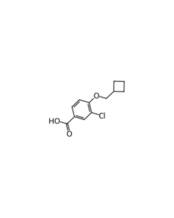 O=C(O)c1ccc(OCC2CCC2)c(Cl)c1